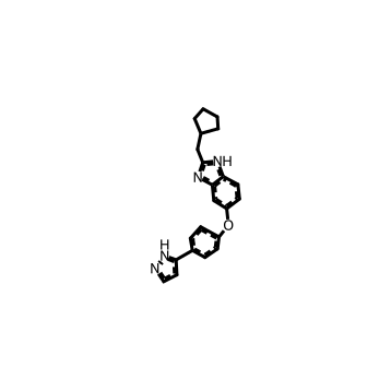 c1cc(-c2ccc(Oc3ccc4[nH]c(CC5CCCC5)nc4c3)cc2)[nH]n1